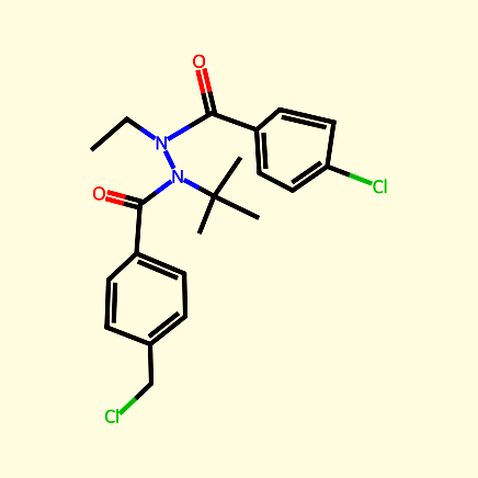 CCN(C(=O)c1ccc(Cl)cc1)N(C(=O)c1ccc(CCl)cc1)C(C)(C)C